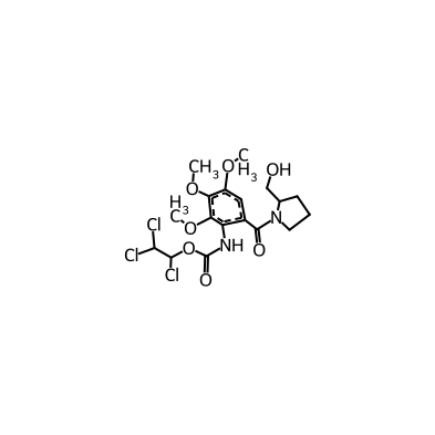 COc1cc(C(=O)N2CCCC2CO)c(NC(=O)OC(Cl)C(Cl)Cl)c(OC)c1OC